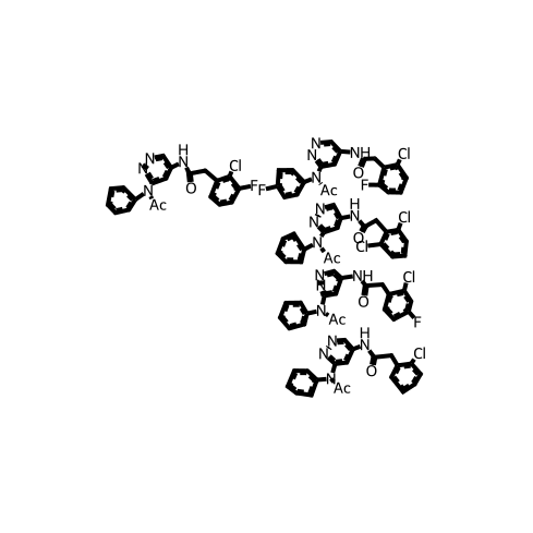 CC(=O)N(c1ccc(F)cc1)c1cc(NC(=O)Cc2c(F)cccc2Cl)cnn1.CC(=O)N(c1ccccc1)c1cc(NC(=O)Cc2c(Cl)cccc2Cl)cnn1.CC(=O)N(c1ccccc1)c1cc(NC(=O)Cc2ccc(F)cc2Cl)cnn1.CC(=O)N(c1ccccc1)c1cc(NC(=O)Cc2cccc(F)c2Cl)cnn1.CC(=O)N(c1ccccc1)c1cc(NC(=O)Cc2ccccc2Cl)cnn1